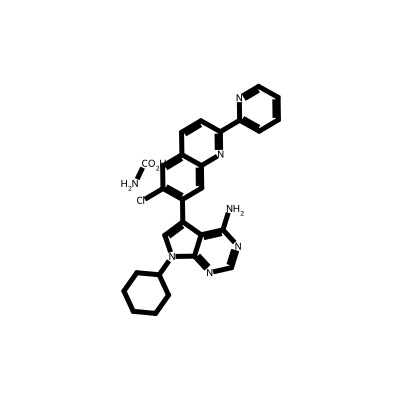 NC(=O)O.Nc1ncnc2c1c(-c1cc3nc(-c4ccccn4)ccc3cc1Cl)cn2C1CCCCC1